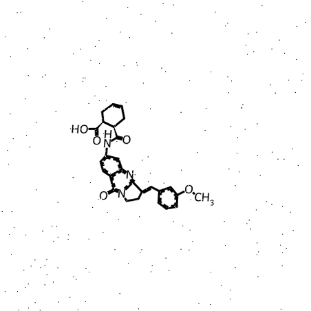 COc1cccc(/C=C2\CCn3c2nc2cc(NC(=O)[C@@H]4CC=CC[C@@H]4C(=O)O)ccc2c3=O)c1